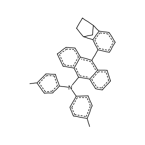 Cc1ccc(N(c2ccc(C)cc2)c2c3ccccc3c(-c3cccc4c3C3CCC4C3)c3ccccc23)cc1